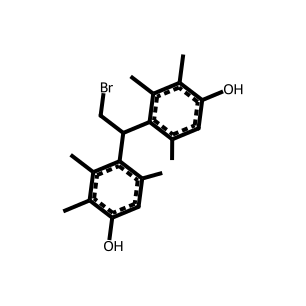 Cc1cc(O)c(C)c(C)c1C(CBr)c1c(C)cc(O)c(C)c1C